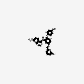 Cc1ccc2c(Nc3cc(OCc4cccc(Cl)n4)ccc3Sc3ccc(O)cc3)ncnc2n1